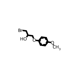 COc1ccc(OCC(O)CBr)cc1